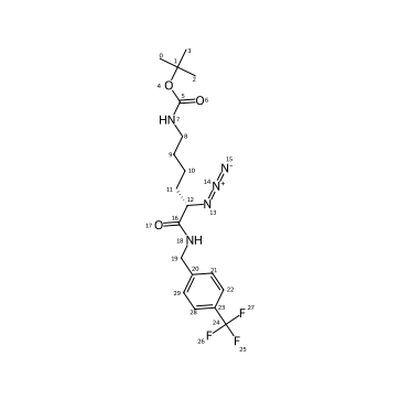 CC(C)(C)OC(=O)NCCCC[C@H](N=[N+]=[N-])C(=O)NCc1ccc(C(F)(F)F)cc1